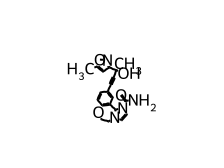 Cc1cc([C@](C)(O)C#Cc2ccc3c(c2)C2N(C=CN2C(N)=O)CCO3)no1